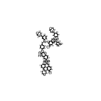 Clc1ccc(CNc2cccc(N3CCOCC3)c2)cc1.Cn1cc(S(=O)(=O)N(Cc2ccc(Cl)cc2)c2cccc(N3CCOCC3)c2)cn1.O=C1COc2ccc(S(=O)(=O)N(Cc3ccc(Cl)cc3)c3cccc(N4CCOCC4)c3)cc2N1